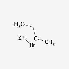 C[CH-]CC.[Zn+][Br]